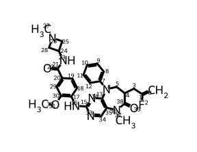 C=C(F)CC1CN(c2ccccc2)c2nc(Nc3ccc(C(=O)NC4CN(C)C4)cc3OC)ncc2N(C)C1=O